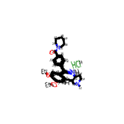 CCOc1cc2c(cc1OCC)[C@H]1CN(C)CC[C@H]1N=C2c1ccc(C(=O)N2CCCCCC2)cc1.Cl